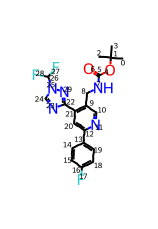 CC(C)(C)OC(=O)NCc1cnc(-c2ccc(F)cc2)cc1-c1ncn(C(F)F)n1